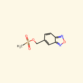 CS(=O)(=O)OCc1ccc2nonc2c1